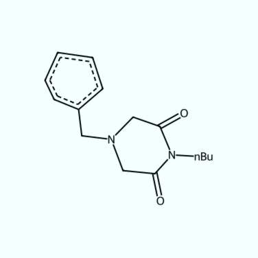 [CH2]CCCN1C(=O)CN(Cc2ccccc2)CC1=O